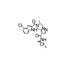 CC1Cn2ncc(C(=O)N[C@H](C)C(F)(F)F)c2CN1C(=O)c1cc2c(Cl)cccc2[nH]1